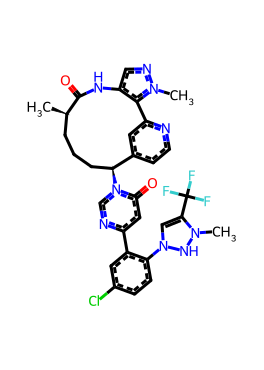 C[C@@H]1CCC[C@H](n2cnc(-c3cc(Cl)ccc3N3C=C(C(F)(F)F)N(C)N3)cc2=O)c2ccnc(c2)-c2c(cnn2C)NC1=O